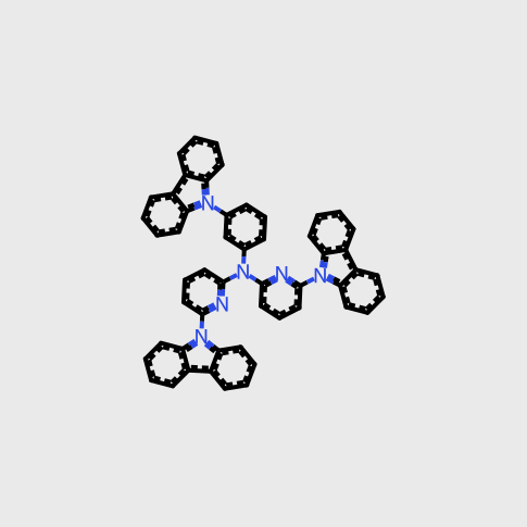 c1cc(N(c2cccc(-n3c4ccccc4c4ccccc43)n2)c2cccc(-n3c4ccccc4c4ccccc43)n2)cc(-n2c3ccccc3c3ccccc32)c1